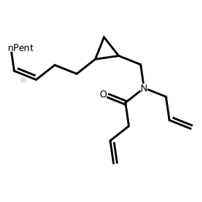 C=CCC(=O)N(CC=C)CC1CC1CC/C=C\CCCCC